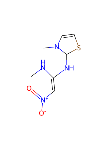 CNC(=C[N+](=O)[O-])NC1SC=CN1C